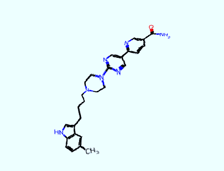 Cc1ccc2[nH]cc(CCCCN3CCN(c4ncc(-c5ccc(C(N)=O)cn5)cn4)CC3)c2c1